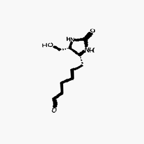 O=CCCCCC[C@H]1NC(=O)N[C@H]1CO